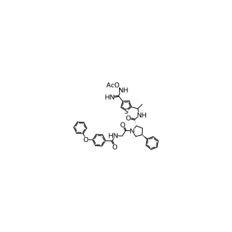 CC(=O)ONC(=N)c1csc(C(C)NC(=O)[C@@H]2C[C@@H](c3ccccc3)CN2C(=O)CNC(=O)c2ccc(Oc3ccccc3)cc2)c1